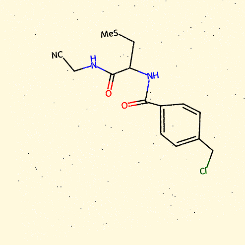 CSCC(NC(=O)c1ccc(CCl)cc1)C(=O)NCC#N